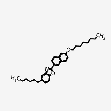 CCCCCCCCOc1ccc2cc(-c3nc4cc(CCCCCC)ccc4o3)ccc2c1